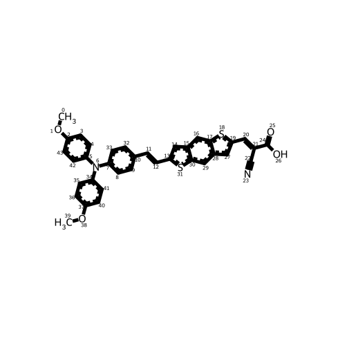 COc1ccc(N(c2ccc(/C=C/c3cc4cc5sc(/C=C(\C#N)C(=O)O)cc5cc4s3)cc2)c2ccc(OC)cc2)cc1